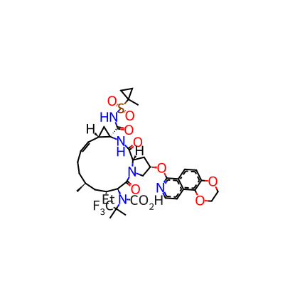 CC[C@@H]1C[C@@H](C)CC/C=C\[C@@H]2C[C@@]2(C(=O)NS(=O)(=O)C2(C)CC2)NC(=O)[C@@H]2C[C@@H](Oc3nccc4c5c(ccc34)OCCO5)CN2C(=O)[C@H]1N(C(=O)O)C(C)(C)C(F)(F)F